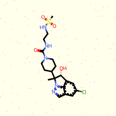 CC1(C2CCN(C(=O)NCCNS(C)(=O)=O)CC2)[C@H](O)c2cc(Cl)cc3cnn1c23